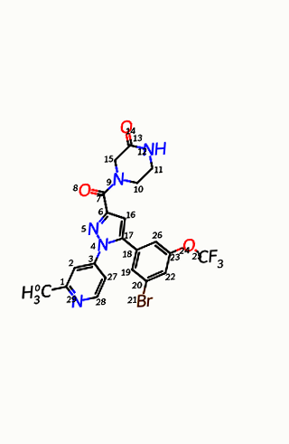 Cc1cc(-n2nc(C(=O)N3CCNC(=O)C3)cc2-c2cc(Br)cc(OC(F)(F)F)c2)ccn1